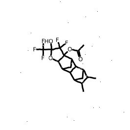 CC(=O)OC12C3CC(C4C5CC(C(C)C5C)C43)C1OC(O)(C(F)(F)F)C2(F)F